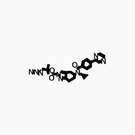 CC(C)(CN=[N+]=[N-])OC(=O)n1cc2c(n1)CCC(N(C(=O)c1ccc(-c3cnccn3)cc1)C1CC1)C2